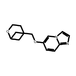 c1cn2cc(OCC34CCOC(C3)C4)ccc2n1